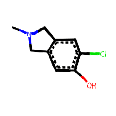 CN1Cc2cc(O)c(Cl)cc2C1